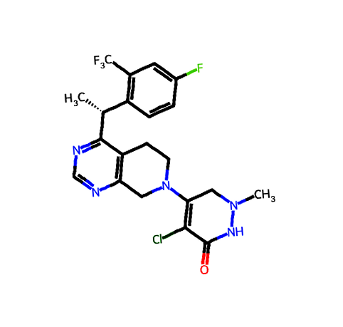 C[C@H](c1ccc(F)cc1C(F)(F)F)c1ncnc2c1CCN(C1=C(Cl)C(=O)NN(C)C1)C2